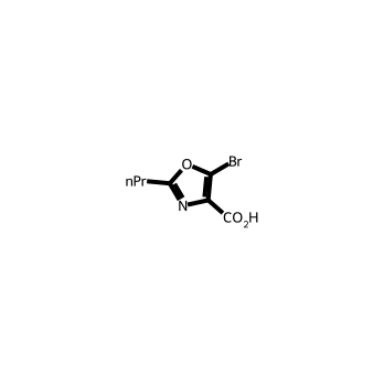 CCCc1nc(C(=O)O)c(Br)o1